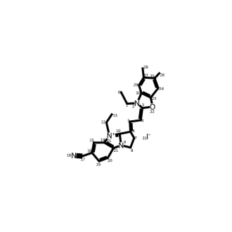 CCN1C(=CC=C2CCn3c2[n+](CC)c2cc(C#N)ccc23)Oc2cc(C)c(C)cc21.[I-]